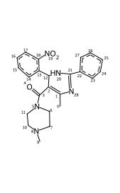 CC1=C(C(=O)N2CCN(C)CC2)C(c2ccccc2[N+](=O)[O-])NC(c2ccccc2)=N1